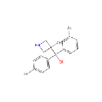 CC(=O)c1cccc(C(O)(c2ccc(C(C)C)cc2)C2(C)CNC2)c1